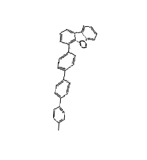 Cc1ccc(-c2ccc(-c3ccc(-c4cccc5c4oc4ccccc45)cc3)cc2)cc1